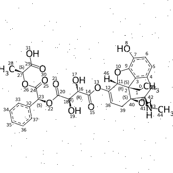 CC[C@]12c3c4ccc(O)c3O[C@H]1C(OC(=O)[C@H](O)[C@@H](O)C(=O)O[C@H](C(=O)O[C@@H](C)C(=O)O)c1ccccc1)=CC[C@@]2(O)[C@H](NC)C4